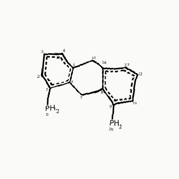 Pc1cccc2c1Cc1c(P)cccc1C2